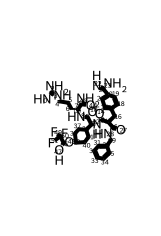 N=C(N)NCCC[C@H](NC(=O)[C@@H](NC(=O)C(Cc1ccc(C(=N)N)cc1)C(=O)NCc1ccccc1)C1CCCCC1)C(N)=O.O=C(O)C(F)(F)F